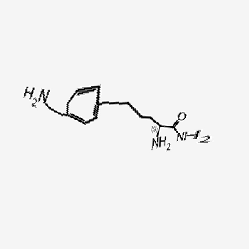 NCc1ccc(CCC[C@H](N)C(N)=O)cc1